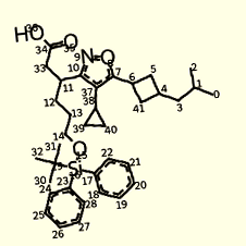 CC(C)CC1CC(c2onc(C(CCCO[Si](c3ccccc3)(c3ccccc3)C(C)(C)C)CC(=O)O)c2C2CC2)C1